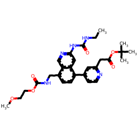 CCNC(=O)Nc1cc2c(-c3ccnc(CC(=O)OC(C)(C)C)c3)ccc(CNC(=O)OCCOC)c2cn1